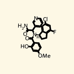 COc1ccc(C(=O)N(C(C(N)=O)c2cccnc2)[C@@H]2CCc3c(F)cc(Cl)cc32)c(O)c1